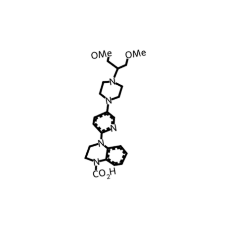 COCC(COC)N1CCN(c2ccc(N3CCN(C(=O)O)c4ccccc43)nc2)CC1